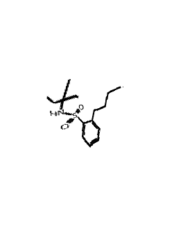 [CH2]CCCc1ccccc1S(=O)(=O)NC(C)(C)C